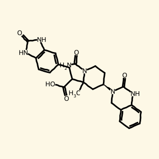 CC1(C(Cc2ccc3[nH]c(=O)[nH]c3c2)C(=O)O)C[C@H](N2Cc3ccccc3NC2=O)CCN1C(N)=O